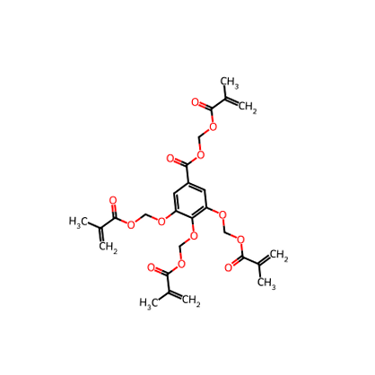 C=C(C)C(=O)OCOC(=O)c1cc(OCOC(=O)C(=C)C)c(OCOC(=O)C(=C)C)c(OCOC(=O)C(=C)C)c1